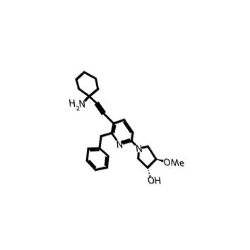 CO[C@@H]1CN(c2ccc(C#CC3(N)CCCCC3)c(Cc3ccccc3)n2)C[C@H]1O